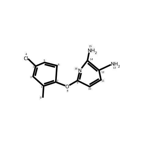 Cc1cc(Cl)ccc1Oc1ccc(N)c(N)n1